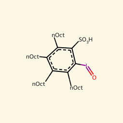 CCCCCCCCc1c(CCCCCCCC)c(CCCCCCCC)c(S(=O)(=O)O)c(I=O)c1CCCCCCCC